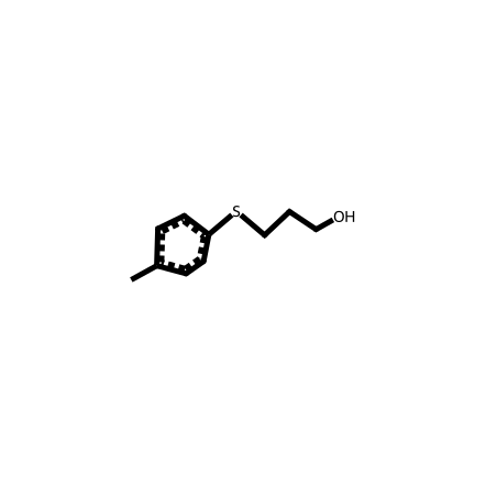 Cc1ccc(SCCCO)cc1